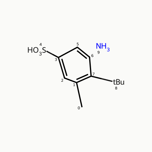 Cc1cc(S(=O)(=O)O)ccc1C(C)(C)C.N